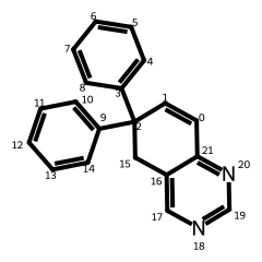 C1=CC(c2ccccc2)(c2ccccc2)Cc2cncnc21